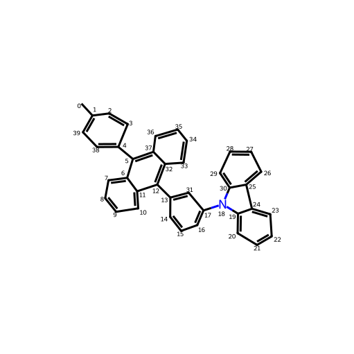 Cc1ccc(-c2c3ccccc3c(-c3cccc(-n4c5ccccc5c5ccccc54)c3)c3ccccc23)cc1